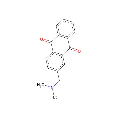 CCN(C)Cc1ccc2c(c1)C(=O)c1ccccc1C2=O